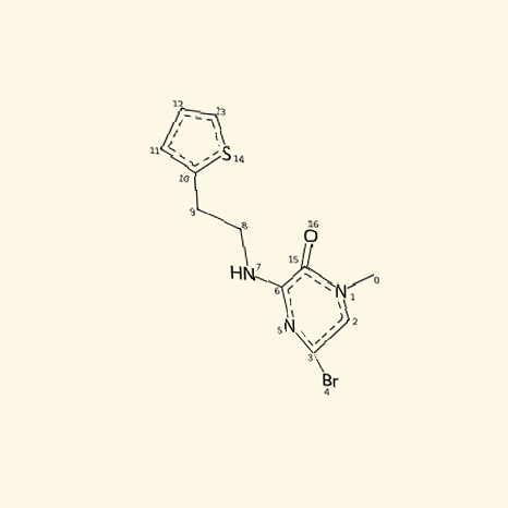 Cn1cc(Br)nc(NCCc2cccs2)c1=O